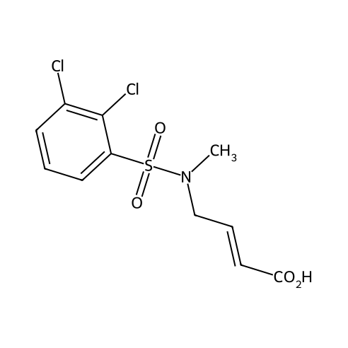 CN(C/C=C/C(=O)O)S(=O)(=O)c1cccc(Cl)c1Cl